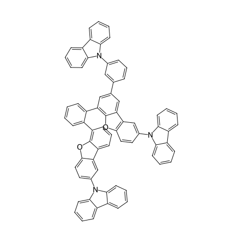 c1cc(-c2cc(-c3ccccc3-c3cccc4c3oc3ccc(-n5c6ccccc6c6ccccc65)cc34)c3oc4ccc(-n5c6ccccc6c6ccccc65)cc4c3c2)cc(-n2c3ccccc3c3ccccc32)c1